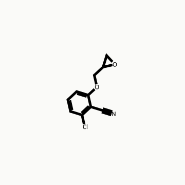 N#Cc1c(Cl)cccc1OCC1CO1